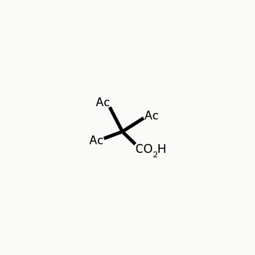 CC(=O)C(C(C)=O)(C(C)=O)C(=O)O